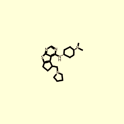 CN(C)[C@H]1CC[C@H](Nc2ncnc3sc4c(c23)C(CN2CCCC2)CC4)CC1